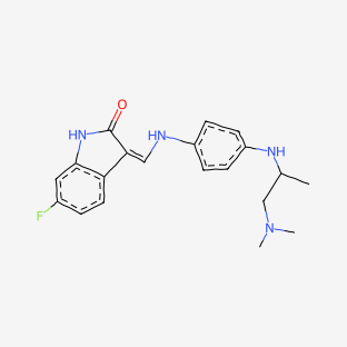 CC(CN(C)C)Nc1ccc(NC=C2C(=O)Nc3cc(F)ccc32)cc1